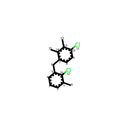 Cc1cccc(Cc2ccc(Cl)c(C)c2C)c1Cl